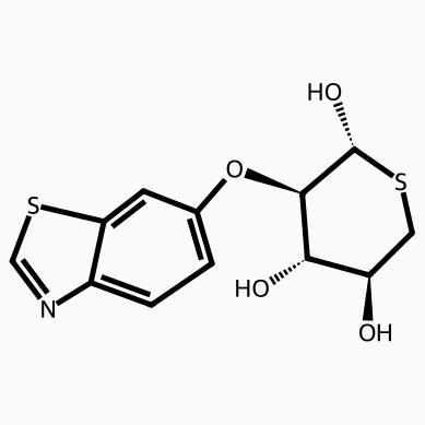 O[C@@H]1[C@@H](Oc2ccc3ncsc3c2)[C@H](O)SC[C@H]1O